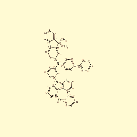 CC1(C)c2ccccc2-c2ccc(N(c3ccc(-c4ccccc4)cc3)c3cccc(-n4c5cccc6oc7ccccc7c7cccc4c7c65)c3)cc21